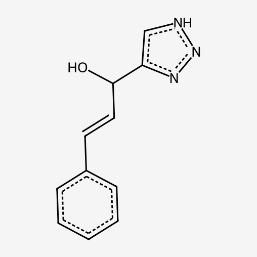 OC(/C=C/c1ccccc1)c1c[nH]nn1